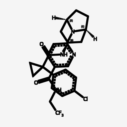 O=C(NCC(F)(F)F)c1ccc(N2[C@@H]3CC[C@H]2C[C@@H](NC(=O)C2(c4ccc(Cl)cc4)CC2)C3)nc1